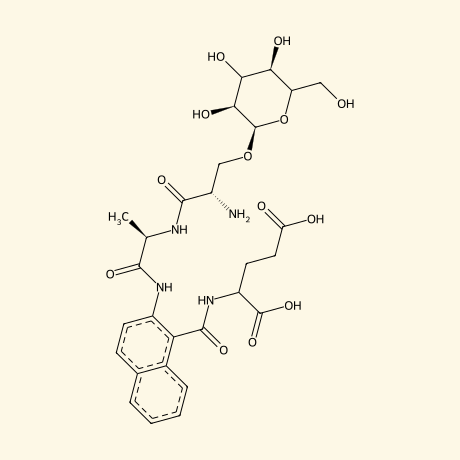 C[C@@H](NC(=O)[C@@H](N)CO[C@@H]1OC(CO)[C@H](O)C(O)[C@@H]1O)C(=O)Nc1ccc2ccccc2c1C(=O)NC(CCC(=O)O)C(=O)O